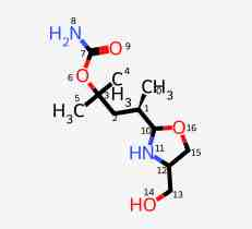 C[C@H](CC(C)(C)OC(N)=O)C1NC(CO)CO1